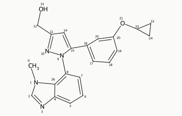 Cn1cnc2cccc(-n3nc(CO)cc3-c3cccc(OC4CC4)c3)c21